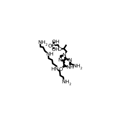 CC(Cn1cnc2c(=O)[nH]c(N)nc21)OCP(=O)(O)O.NCCCNCCCCNCCCN